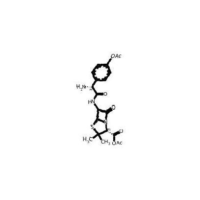 CC(=O)OC(=O)[C@H]1N2C(=O)C(NC(=O)[C@H](N)c3ccc(OC(C)=O)cc3)C2SC1(C)C